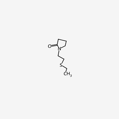 CCSCCN1CCCC1=O